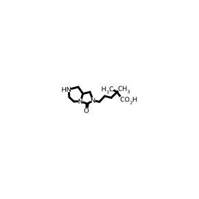 CC(C)(CCCN1CC2CNCCN2C1=O)C(=O)O